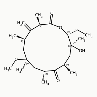 C=C1[C@@H](C)C(=O)O[C@H](CC)[C@@](C)(O)C[C@@H](C)C(=O)[C@H](C)C[C@@](C)(OC)C[C@H]1C